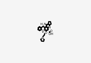 COc1c(OCCCN2CCCC2)cc2nc3c(c(N)c2c1Cc1ccccc1)CCC3.O=CO